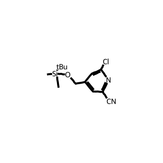 CC(C)(C)[Si](C)(C)OCc1cc(Cl)nc(C#N)c1